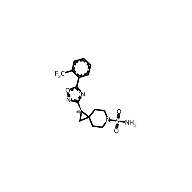 NS(=O)(=O)N1CCC2(CC1)C[C@H]2c1noc(-c2ccccc2C(F)(F)F)n1